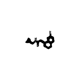 O=C(C=C1CCCc2ccc(F)cc21)NCC1CC1